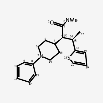 CNC(=O)[C@H](C1CCN(c2ccccc2)CC1)[C@@H](C)c1cccs1